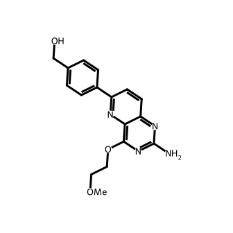 COCCOc1nc(N)nc2ccc(-c3ccc(CO)cc3)nc12